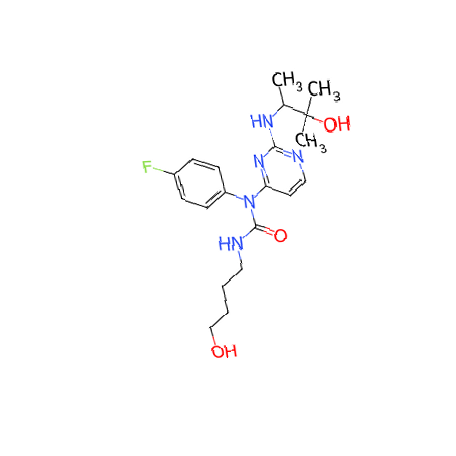 CC(Nc1nccc(N(C(=O)NCCCCO)c2ccc(F)cc2)n1)C(C)(C)O